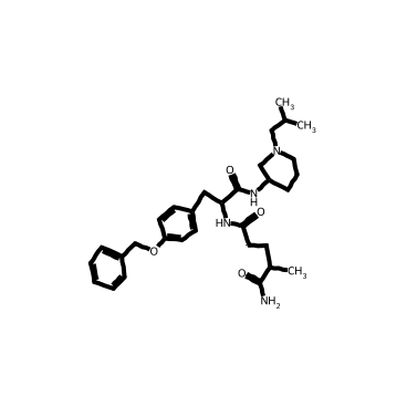 CC(C)CN1CCCC(NC(=O)C(Cc2ccc(OCc3ccccc3)cc2)NC(=O)[CH]CC(C)C(N)=O)C1